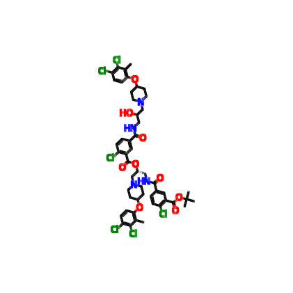 Cc1c(OC2CCN(C[C@H](O)CNC(=O)c3ccc(Cl)c(C(=O)O[C@H](CNC(=O)c4ccc(Cl)c(C(=O)OC(C)(C)C)c4)CN4CCC(Oc5ccc(Cl)c(Cl)c5C)CC4)c3)CC2)ccc(Cl)c1Cl